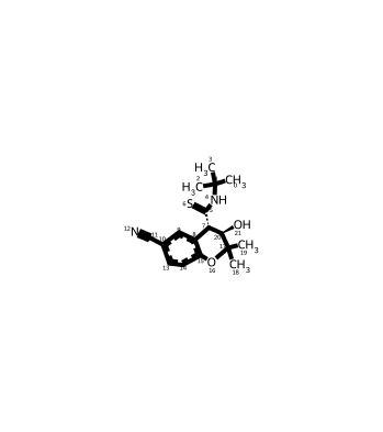 CC(C)(C)NC(=S)[C@H]1c2cc(C#N)ccc2OC(C)(C)[C@@H]1O